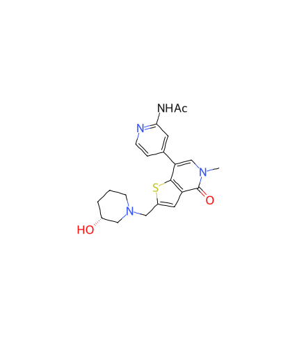 CC(=O)Nc1cc(-c2cn(C)c(=O)c3cc(CN4CCC[C@@H](O)C4)sc23)ccn1